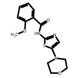 COc1ccccc1C(=O)Nc1ncc(N2CCOCC2)s1